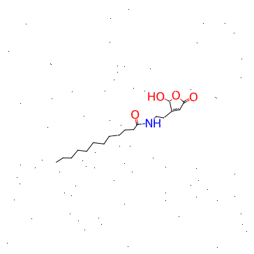 CCCCCCCCCCCC(=O)NCCC1=CC(=O)OC1O